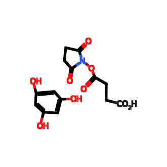 O=C(O)CCC(=O)ON1C(=O)CCC1=O.Oc1cc(O)cc(O)c1